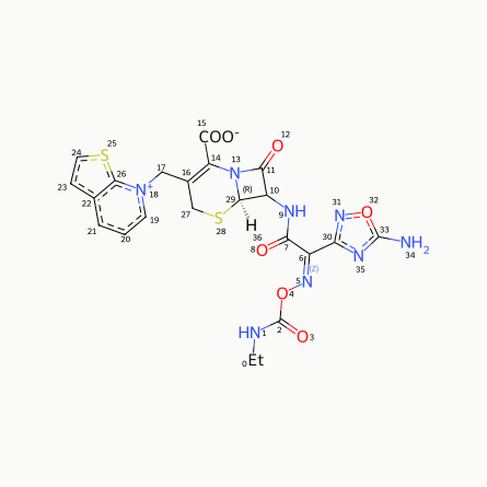 CCNC(=O)O/N=C(\C(=O)NC1C(=O)N2C(C(=O)[O-])=C(C[n+]3cccc4ccsc43)CS[C@H]12)c1noc(N)n1